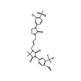 CC1(C)C(=O)N(c2ccc(C#N)c(C(F)(F)F)c2)C(=O)N1CC=CCN1CCN(c2ccc(S(C)(=O)=O)c(Cl)c2)C1=O